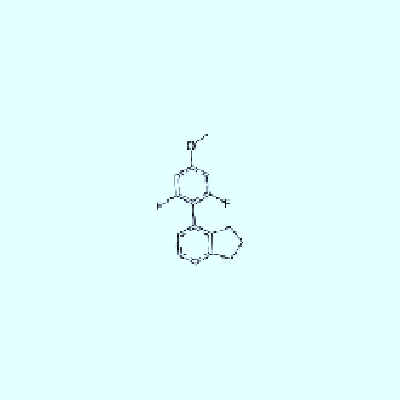 COc1cc(F)c(-c2cccc3c2CCC3)c(F)c1